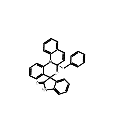 O=C1Nc2ccccc2C12O[C@]1(Cc3ccccc3)C=Cc3ccccc3N1c1ccccc12